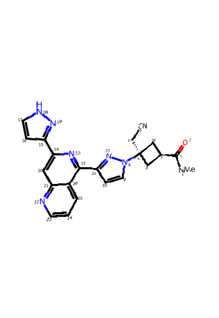 CNC(=O)[C@H]1C[C@@](CC#N)(n2ccc(-c3nc(-c4cc[nH]n4)cc4ncccc34)n2)C1